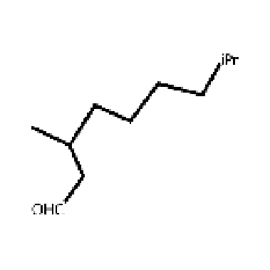 CC(C)CCCCC(C)CC=O